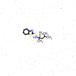 CC(C)CC(C)(C)NSc1nc2ccccc2s1